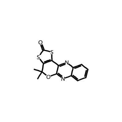 CC1(C)Oc2nc3ccccc3nc2-c2sc(=O)sc21